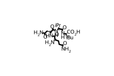 CC[C@H](C)[C@H](NC(=O)[C@@H](NC(=O)[C@H](CC(N)=O)NC(=O)[C@@H](N)CCC(N)=O)C(C)C)C(=O)O